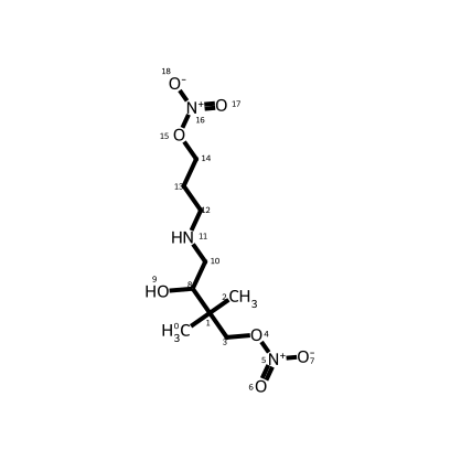 CC(C)(CO[N+](=O)[O-])C(O)CNCCCO[N+](=O)[O-]